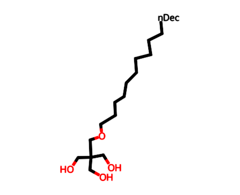 CCCCCCCCCCCCCCCCCCCCOCC(CO)(CO)CO